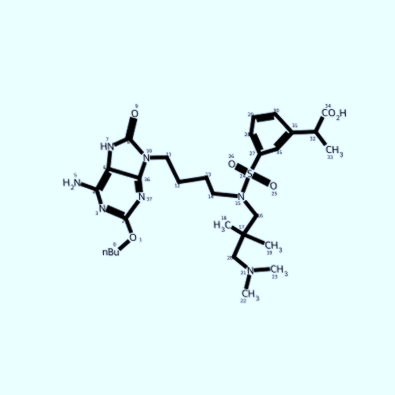 CCCCOc1nc(N)c2[nH]c(=O)n(CCCCN(CC(C)(C)CN(C)C)S(=O)(=O)c3cccc(C(C)C(=O)O)c3)c2n1